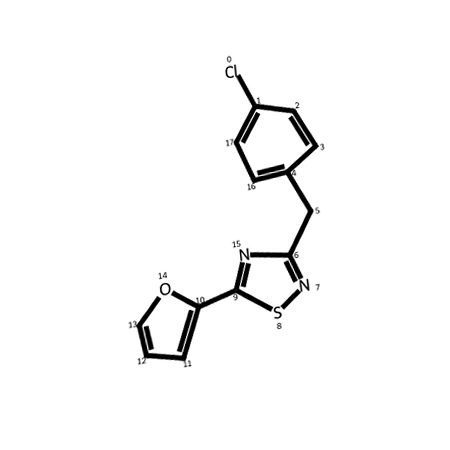 Clc1ccc(Cc2nsc(-c3ccco3)n2)cc1